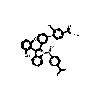 COC(=O)c1ccc(-c2cccc(-c3c(-c4c(C#N)cccc4C#N)c4ccccc4n3[S+]([O-])c3ccc(C(F)F)cc3)c2)c(Cl)c1